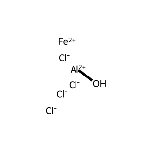 [Cl-].[Cl-].[Cl-].[Cl-].[Fe+2].[OH][Al+2]